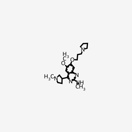 CNc1nc(C2CCN(C)C2)c2cc(OC)c(OCCCN3CCCC3)cc2n1